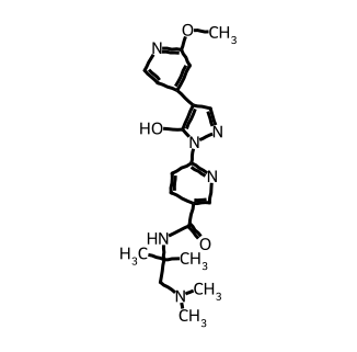 COc1cc(-c2cnn(-c3ccc(C(=O)NC(C)(C)CN(C)C)cn3)c2O)ccn1